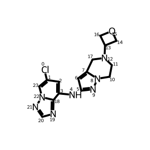 Clc1cc(Nc2cc3n(n2)CCN(C2COC2)C3)c2ncnn2c1